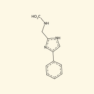 O=C(O)NCc1nc(-c2ccccc2)c[nH]1